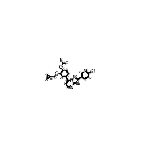 FC(F)Oc1ccc(-c2ccnc3nc(-c4ccc(Cl)nc4)nn23)cc1OCC1CC1